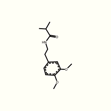 COc1ccc(CCNC(=O)C(C)C)cc1OC